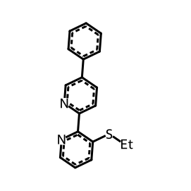 CCSc1cccnc1-c1ccc(-c2ccccc2)cn1